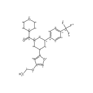 CCOc1noc(C2CC(c3ccc(C(F)(F)F)cc3)CN(C(=O)N3CCOCC3)C2)n1